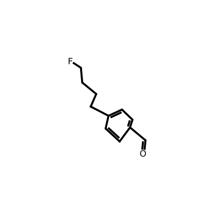 O=Cc1ccc(CCCCF)cc1